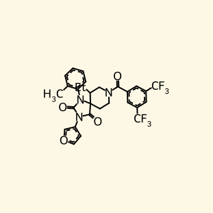 CCC1CN(C(=O)c2cc(C(F)(F)F)cc(C(F)(F)F)c2)CCC12C(=O)N(c1ccoc1)C(=O)N2c1ccccc1C